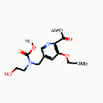 COCOc1cc(CN(CCO)C(=O)OC(C)(C)C)cnc1C(=O)OC